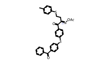 CC(=O)O/N=C(\CCSc1ccc(C)cc1)C(=O)c1ccc(Sc2ccc(C(=O)c3ccccc3)cc2)cc1